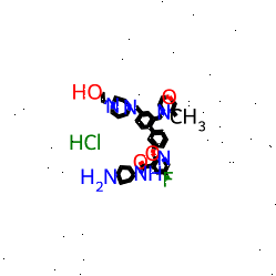 CC1COCCN1Cc1cc(CN2CCCN(CCO)CC2)ccc1-c1cccc(Oc2ncc(F)cc2C(=O)NC2CCC(N)CC2)c1.Cl